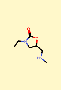 CCN1CC(CNC)OC1=O